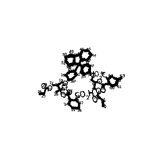 C=CC(=O)OCC(COc1ccc(C2(c3ccc(OCC(COC(=O)C=C)C(C)(CC)OC(=O)C4CC=CCC4C(=O)O)cc3)c3ccccc3-c3ccccc32)cc1)OC(=O)c1ccc(C)cc1C(=O)O